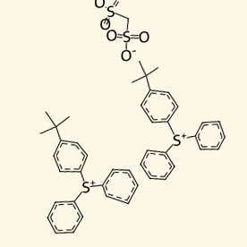 CC(C)(C)c1ccc([S+](c2ccccc2)c2ccccc2)cc1.CC(C)(C)c1ccc([S+](c2ccccc2)c2ccccc2)cc1.O=S(=O)([O-])CS(=O)(=O)[O-]